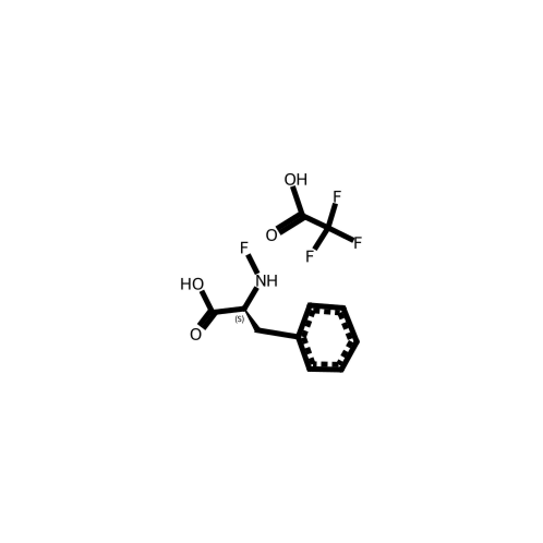 O=C(O)C(F)(F)F.O=C(O)[C@H](Cc1ccccc1)NF